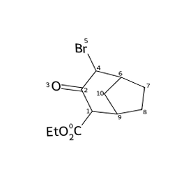 CCOC(=O)C1C(=O)C(Br)C2CCC1C2